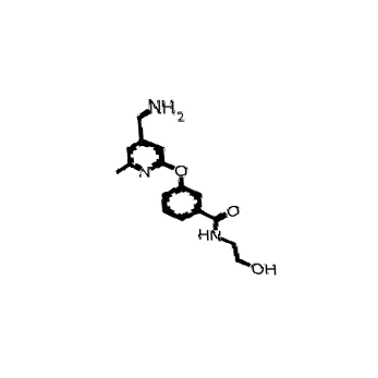 Cc1cc(CN)cc(Oc2cccc(C(=O)NCCO)c2)n1